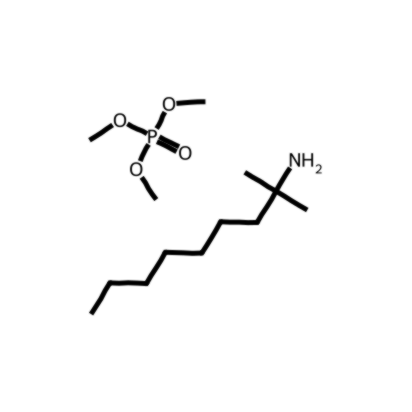 CCCCCCCC(C)(C)N.COP(=O)(OC)OC